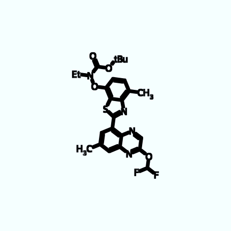 CCN(Oc1ccc(C)c2nc(-c3cc(C)cc4nc(OC(F)F)cnc34)sc12)C(=O)OC(C)(C)C